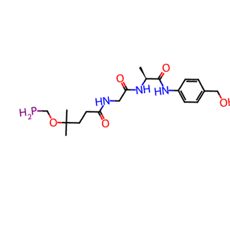 C[C@H](NC(=O)CNC(=O)CCC(C)(C)OCP)C(=O)Nc1ccc(CO)cc1